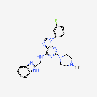 CCN1CCN(c2nc(NCc3nc4ccccc4[nH]3)c3ncn(-c4cccc(F)c4)c3n2)CC1